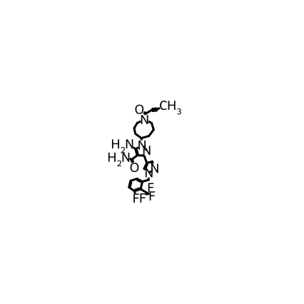 CC#CC(=O)N1CCCC(n2nc(-c3cnn(Cc4cccc(F)c4C(F)(F)F)c3)c(C(N)=O)c2N)CCC1